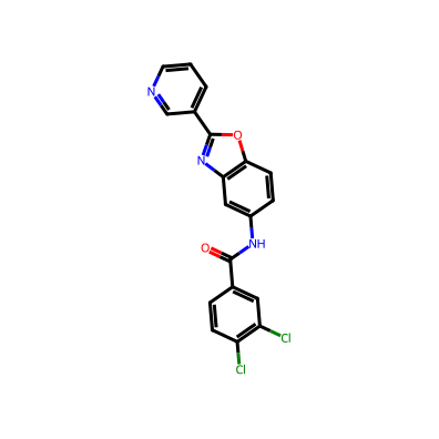 O=C(Nc1ccc2oc(-c3cccnc3)nc2c1)c1ccc(Cl)c(Cl)c1